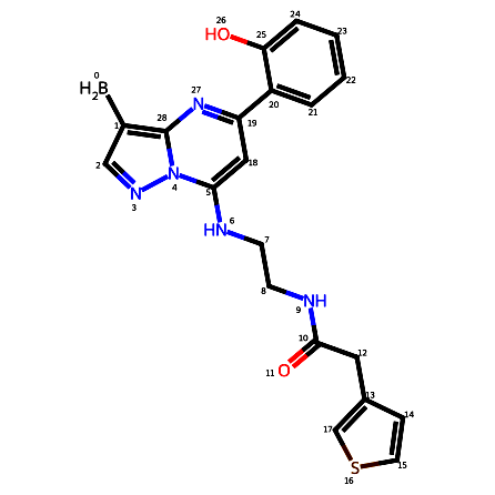 Bc1cnn2c(NCCNC(=O)Cc3ccsc3)cc(-c3ccccc3O)nc12